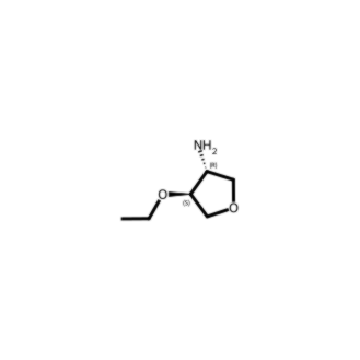 CCO[C@@H]1COC[C@H]1N